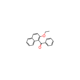 CCOc1ccc2ccccc2c1C(=O)c1ccccc1